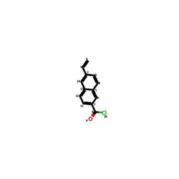 C=Cc1ccc2cc(C(=O)Cl)ccc2c1